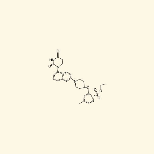 CCOS(=O)(=O)c1ccc(C)cc1OC1CCN(c2ccc3c(N4CCC(=O)NC4=O)cccc3c2)CC1